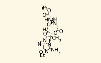 CCOC1=NC(N)=NC2C1N=CN2[C@@H]1O[C@@H]2COP(=O)(NCC(=O)OC(C)C)NCC(=O)OC2[C@]1(C)F